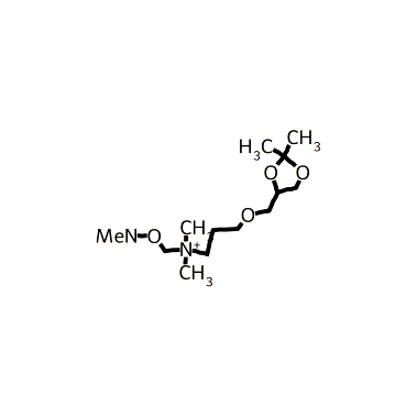 CNOC[N+](C)(C)CCCOCC1COC(C)(C)O1